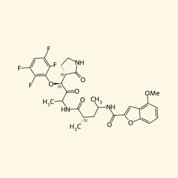 COc1cccc2oc(C(=O)NC(C)C[C@H](C)C(=O)NC(C)C(=O)[C@@H](Oc3c(F)c(F)cc(F)c3F)[C@@H]3CCNC3=O)cc12